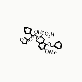 COc1ccc2c(c1OCc1ccccc1)C[C@H](C(=O)O)N(C(O)[C@@H](O[C@H]1CCOC1)c1ccccc1)C2